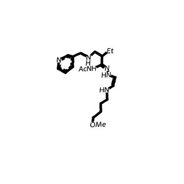 CCC(CNCc1cccnc1)/C(=N/N/C=C\NCCCCOC)NC(C)=O